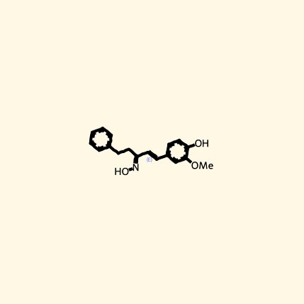 COc1cc(/C=C/C(CCc2ccccc2)=NO)ccc1O